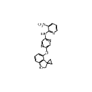 O=[N+]([O-])c1cccnc1Nc1cnc(Oc2cccc3c2C2(CC2)CO3)cn1